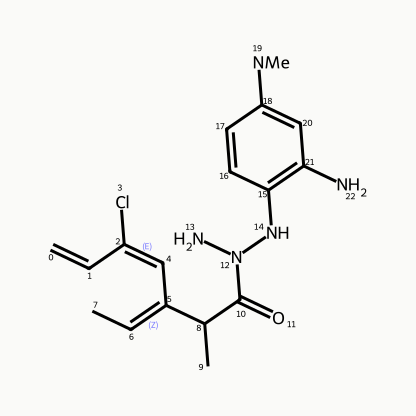 C=C/C(Cl)=C\C(=C/C)C(C)C(=O)N(N)Nc1ccc(NC)cc1N